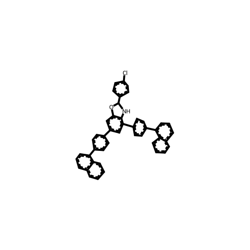 Clc1ccc(C2Nc3c(cc(-c4ccc(-c5cccc6ccccc56)cc4)cc3-c3ccc(-c4cccc5ccccc45)cc3)O2)cc1